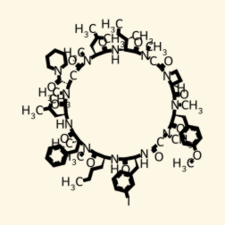 CCCC[C@@H]1NC(=O)[C@H](Cc2cccc(I)c2)NC(=O)CN(C)C(=O)[C@H](Cc2ccc(OC)cc2)N(C)C(=O)[C@@H]2CCN2C(=O)CN(C)C(=O)[C@H]([C@@H](C)CC)NC(=O)[C@H](CC(C)C)N(C)C(=O)C[C@@H](C(=O)N2CCCCC2)N(C)C(=O)[C@H](CC(C)C)NC(=O)[C@](C)(Cc2ccccc2)N(C)C1=O